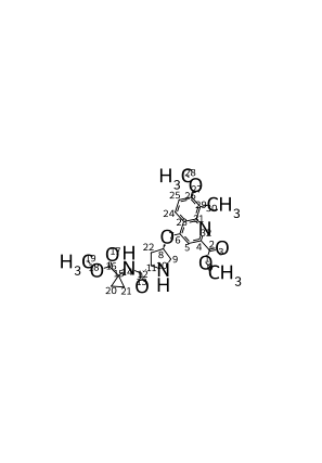 COC(=O)c1cc(O[C@H]2CN[C@H](C(=O)NC3(C(=O)OC)CC3)C2)c2ccc(OC)c(C)c2n1